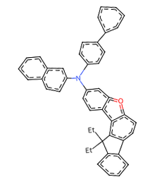 CCC1(CC)c2ccccc2-c2ccc3oc4cc(N(c5ccc(-c6ccccc6)cc5)c5ccc6ccccc6c5)ccc4c3c21